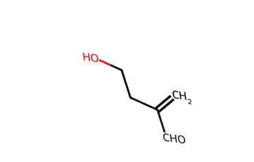 C=C(C=O)CCO